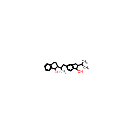 CC(C)C1Cc2cc(CC(C)C3CCc4ccccc4C3O)ccc2C1O